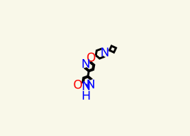 O=c1cc(-c2ccc(OC3CCN(C4CCC4)CC3)nc2)cn[nH]1